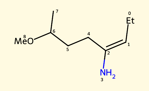 CC/C=C(/N)CCC(C)OC